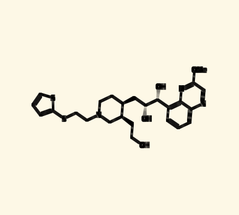 COc1cnc2cccc([C@@H](O)[C@H](O)C[C@@H]3CCN(CCSc4cccs4)C[C@@H]3CCO)c2n1